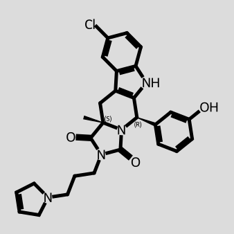 C[C@@]12Cc3c([nH]c4ccc(Cl)cc34)[C@@H](c3cccc(O)c3)N1C(=O)N(CCCN1CC=CC1)C2=O